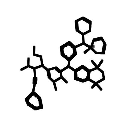 CCCN(C1=CC(C)C(C)C(N(c2cccc(N(C3C=CC=CC3)[C@]3(C)C=CC=CC3)c2)c2ccc3c(c2)C(C)(C)CCC3(C)C)=C1)C(C#Cc1ccccc1)C(C)C